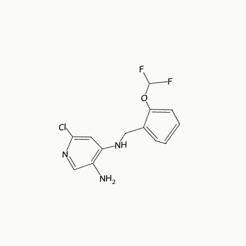 Nc1cnc(Cl)cc1NCc1ccccc1OC(F)F